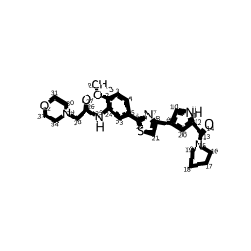 COc1ccc(-c2nc(-c3c[nH]c(C(=O)N4CCCC4)c3)cs2)cc1NC(=O)CN1CCOCC1